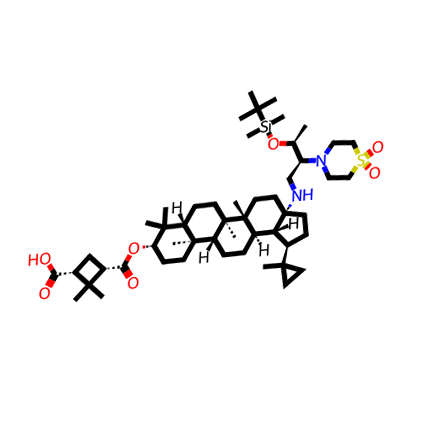 C[C@H](O[Si](C)(C)C(C)(C)C)[C@H](CN[C@]12CC[C@@H](C3(C)CC3)[C@@H]1[C@H]1CC[C@@H]3[C@@]4(C)CC[C@H](OC(=O)[C@H]5C[C@@H](C(=O)O)C5(C)C)C(C)(C)[C@@H]4CC[C@@]3(C)[C@]1(C)CC2)N1CCS(=O)(=O)CC1